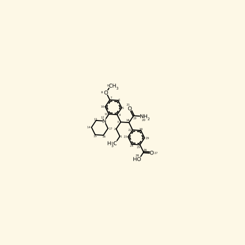 CCCC(c1ccc(OC)cc1N1CCCCC1)C(C(N)=O)c1ccc(C(=O)O)cc1